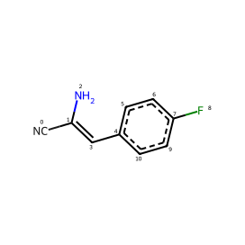 N#CC(N)=Cc1ccc(F)cc1